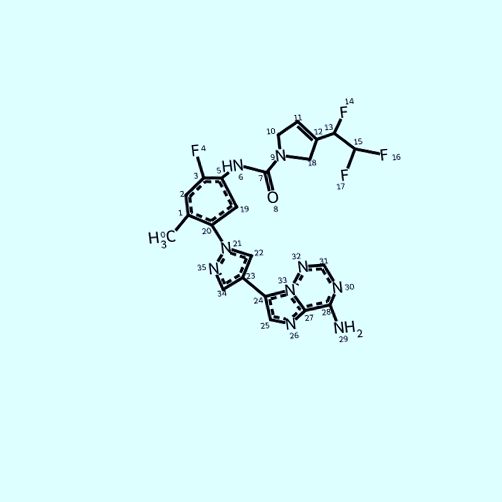 Cc1cc(F)c(NC(=O)N2CC=C(C(F)C(F)F)C2)cc1-n1cc(-c2cnc3c(N)ncnn23)cn1